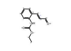 CCOC(=O)Nc1ccccc1/C=C/[C]=O